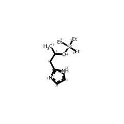 CC[Si](CC)(CC)OC(C)Cc1ncc[nH]1